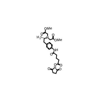 COC(=O)CN(CC(=O)OC)[C@@H](C)Cc1ccc(NC(=O)CCCC(=O)ON2C(=O)CCC2=O)cc1